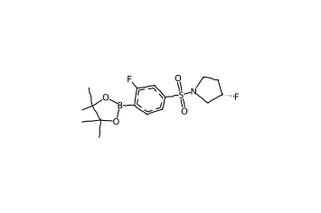 CC1(C)OB(c2ccc(S(=O)(=O)N3CC[C@H](F)C3)cc2F)OC1(C)C